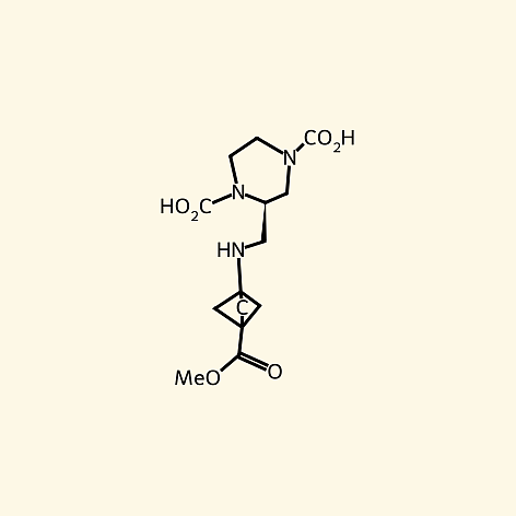 COC(=O)C12CC(NC[C@@H]3CN(C(=O)O)CCN3C(=O)O)(C1)C2